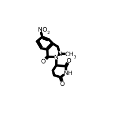 CN1Cc2cc([N+](=O)[O-])ccc2C(=O)N1C1CCC(=O)NC1=O